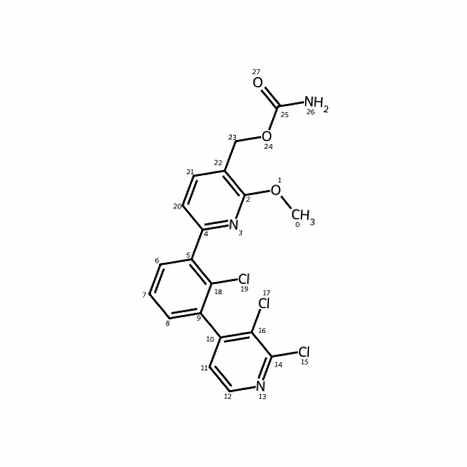 COc1nc(-c2cccc(-c3ccnc(Cl)c3Cl)c2Cl)ccc1COC(N)=O